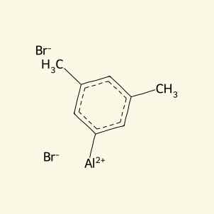 Cc1cc(C)c[c]([Al+2])c1.[Br-].[Br-]